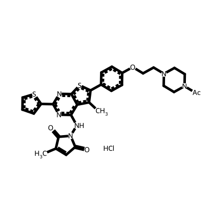 CC(=O)N1CCN(CCOc2ccc(-c3sc4nc(-c5cccs5)nc(NN5C(=O)C=C(C)C5=O)c4c3C)cc2)CC1.Cl